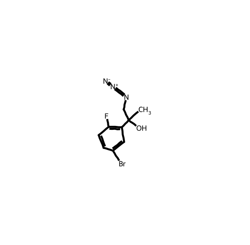 CC(O)(CN=[N+]=[N-])c1cc(Br)ccc1F